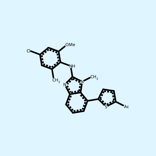 COc1cc(Cl)cc(C)c1Nc1nc2cccc(-c3ccc(C(C)=O)s3)c2n1C